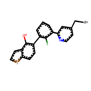 CC(C)(C)Cc1ccnc(-c2cccc(-c3ccc4sccc4c3O)c2F)c1